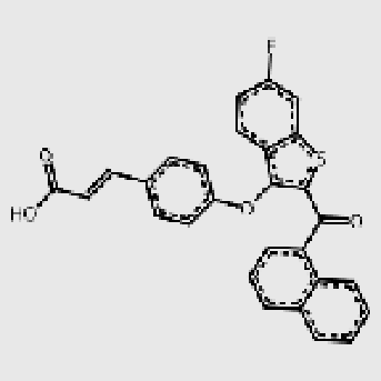 O=C(O)/C=C/c1ccc(Oc2c(C(=O)c3cccc4ccccc34)sc3cc(F)ccc23)cc1